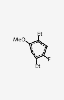 CCc1cc(OC)c(CC)cc1F